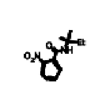 CCC(C)(C)NC(=O)c1ccccc1[N+](=O)[O-]